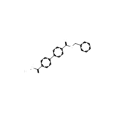 O=C(NO)c1ccc(-c2ccc(C(=O)NCc3ccccc3)cc2)cc1